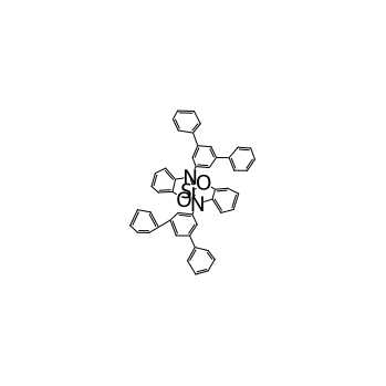 c1ccc(-c2cc(-c3ccccc3)cc(N3c4ccccc4O[Si]34Oc3ccccc3N4c3cc(-c4ccccc4)cc(-c4ccccc4)c3)c2)cc1